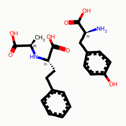 C[C@@H](N[C@@H](CCc1ccccc1)C(=O)O)C(=O)O.N[C@@H](Cc1ccc(O)cc1)C(=O)O